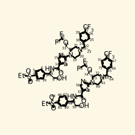 CCS(=O)(=O)c1ccc([C@H](CO)NC(=O)c2cnc(N3CCN([C@@H](C)c4ccc(C(F)(F)F)cc4)C[C@H]3COC(F)F)s2)cc1.CCS(=O)(=O)c1ccc([C@H](CO)NC(=O)c2cnc(N3CCN([C@H](C)c4ccc(C(F)(F)F)cc4)C[C@H]3COC(F)F)s2)cc1